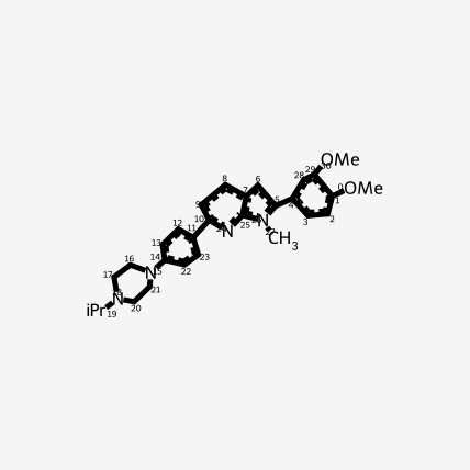 COc1ccc(-c2cc3ccc(-c4ccc(N5CCN(C(C)C)CC5)cc4)nc3n2C)cc1OC